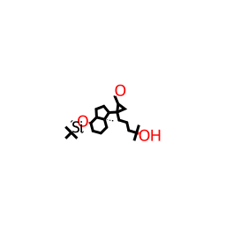 CC(C)(O)CCCC1(C2CCC3[C@@H](O[Si](C)(C)C(C)(C)C)CCC[C@@]32C)CC1C=O